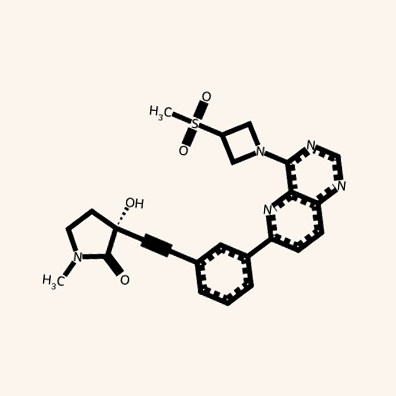 CN1CC[C@@](O)(C#Cc2cccc(-c3ccc4ncnc(N5CC(S(C)(=O)=O)C5)c4n3)c2)C1=O